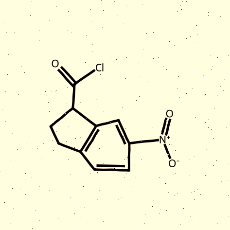 O=C(Cl)C1CCc2ccc([N+](=O)[O-])cc21